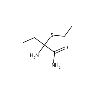 CCSC(N)(CC)C(N)=O